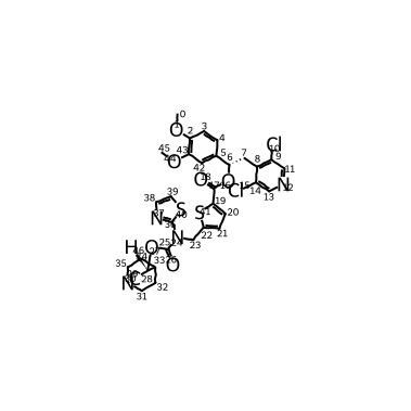 COc1ccc([C@H](Cc2c(Cl)cncc2Cl)OC(=O)c2ccc(CN(C(=O)O[C@H]3CN4CCC3CC4)c3nccs3)s2)cc1OC